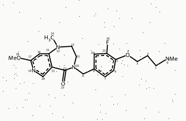 CNCCCOc1ccc(CN2CCN(C)c3cc(OC)ncc3C2=O)cc1F